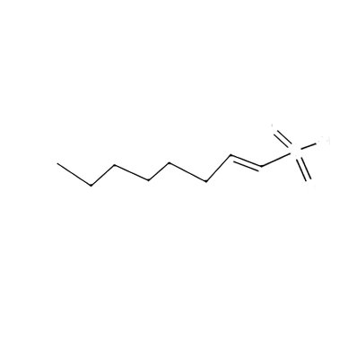 CCCCCC/C=C/S(=O)(=O)O